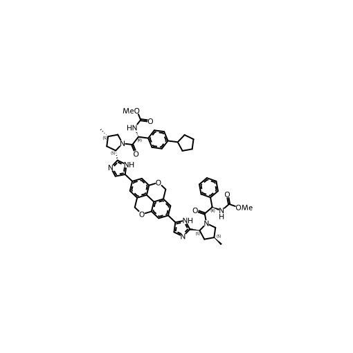 COC(=O)N[C@@H](C(=O)N1C[C@@H](C)C[C@H]1c1ncc(-c2cc3c4c(c2)OCc2cc(-c5cnc([C@@H]6C[C@H](C)CN6C(=O)[C@H](NC(=O)OC)c6ccc(C7CCCC7)cc6)[nH]5)cc(c2-4)OC3)[nH]1)c1ccccc1